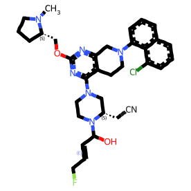 CN1CCC[C@H]1COc1nc2c(c(N3CCN(C(O)/C=C/CF)[C@@H](CC#N)C3)n1)CCN(c1cccc3cccc(Cl)c13)C2